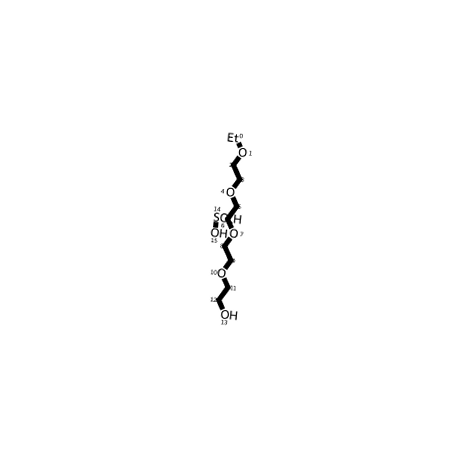 CCOCCOCCOCCOCCO.O=S(=O)(O)O